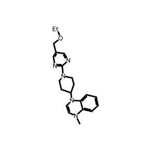 CCOCc1cnc(N2CCC(N3C=CN(C)c4ccccc43)CC2)nc1